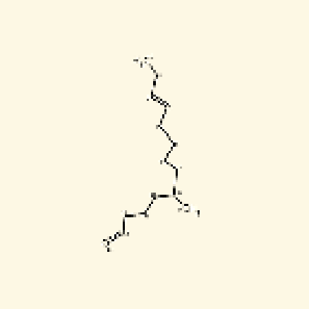 CCC=CCCCCC(C)CCCC=O